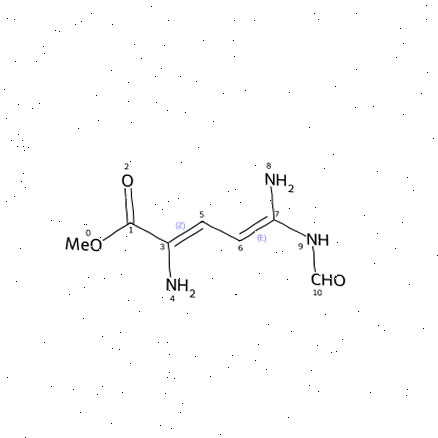 COC(=O)/C(N)=C/C=C(\N)NC=O